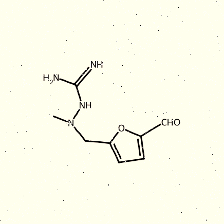 CN(Cc1ccc(C=O)o1)NC(=N)N